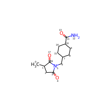 CC1CC(=O)N(CC2CCC(C(N)=O)CC2)C1=O